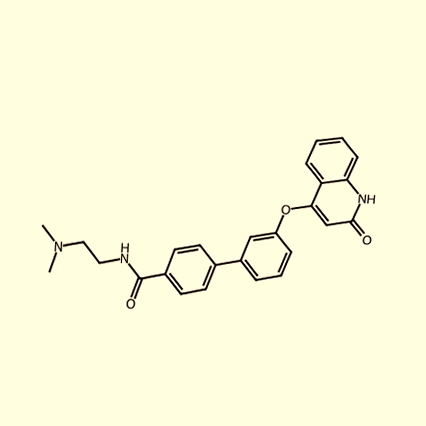 CN(C)CCNC(=O)c1ccc(-c2cccc(Oc3cc(=O)[nH]c4ccccc34)c2)cc1